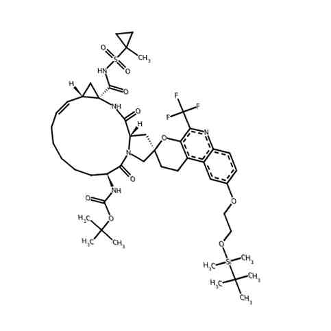 CC(C)(C)OC(=O)N[C@H]1CCCCC/C=C\[C@@H]2C[C@@]2(C(=O)NS(=O)(=O)C2(C)CC2)NC(=O)[C@@H]2C[C@]3(CCc4c(c(C(F)(F)F)nc5ccc(OCCO[Si](C)(C)C(C)(C)C)cc45)O3)CN2C1=O